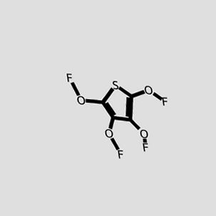 FOc1sc(OF)c(OF)c1OF